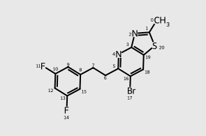 Cc1nc2nc(CCc3cc(F)cc(F)c3)c(Br)cc2s1